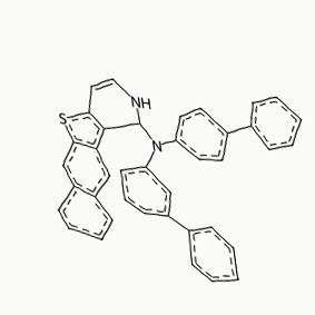 C1=Cc2sc3cc4ccccc4cc3c2C(N(c2ccc(-c3ccccc3)cc2)c2cccc(-c3ccccc3)c2)N1